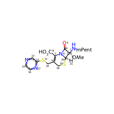 CCCCCN[C@]1(OC)C(=O)N2C(C(=O)O)=C(CSc3cnccn3)CS[C@@H]21